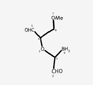 BC(C=O)OC(C=O)COC